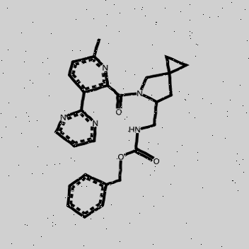 Cc1ccc(-c2ncccn2)c(C(=O)N2CC3(CC3)CC2CNC(=O)OCc2ccccc2)n1